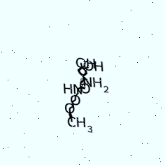 CC#COCCOCCNC(=O)C[C@@H](N)c1ccc(O)c(O)c1